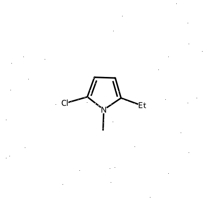 CCc1ccc(Cl)n1C